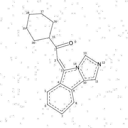 O=C(C=c1c2ccccc2c2cncn12)C1CCCCC1